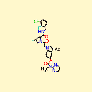 CC(=O)c1cn(CC(=O)N2C[C@H](F)C[C@H]2C(=O)NCc2cccc(Cl)c2F)c2ccc(OC(=O)N(C)c3ncccn3)cc12